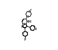 CN1CCN(C2C=Cn3nc(-c4ccc(F)cc4)c(-c4ccncc4)c3N2)CC1